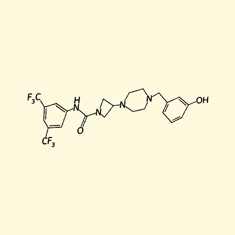 O=C(Nc1cc(C(F)(F)F)cc(C(F)(F)F)c1)N1CC(N2CCN(Cc3cccc(O)c3)CC2)C1